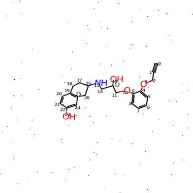 C#CCOc1ccccc1OCC(O)CNC1CCc2ccc(O)cc2C1